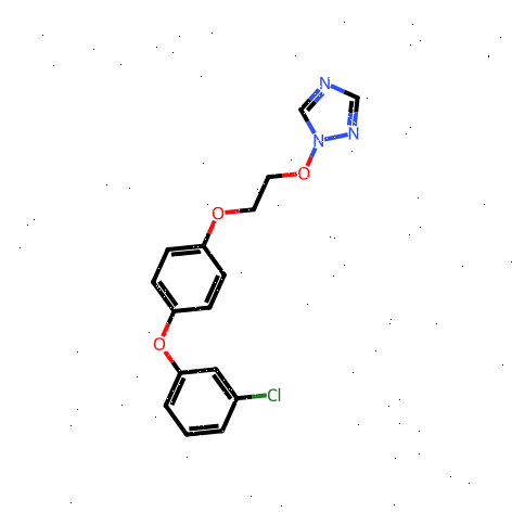 Clc1cccc(Oc2ccc(OCCOn3cncn3)cc2)c1